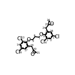 Clc1cc(Cl)c(OCCCOc2c(Cl)cc(Cl)cc2CC2CO2)c(CC2CO2)c1